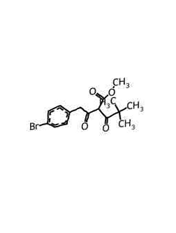 COC(=O)C(C(=O)Cc1ccc(Br)cc1)C(=O)C(C)(C)C